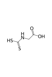 O=C(O)CNC(=S)S